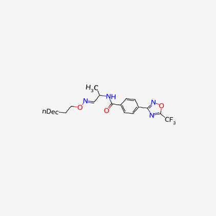 CCCCCCCCCCCCO/N=C/C(C)NC(=O)c1ccc(-c2noc(C(F)(F)F)n2)cc1